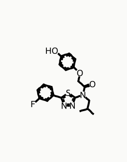 CC(C)CN(C(=O)COc1ccc(O)cc1)c1nnc(-c2cccc(F)c2)s1